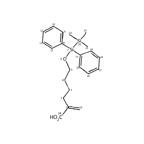 C=C(CCCCO[Si](c1ccccc1)(c1ccccc1)[Si](C)(C)C)C(=O)O